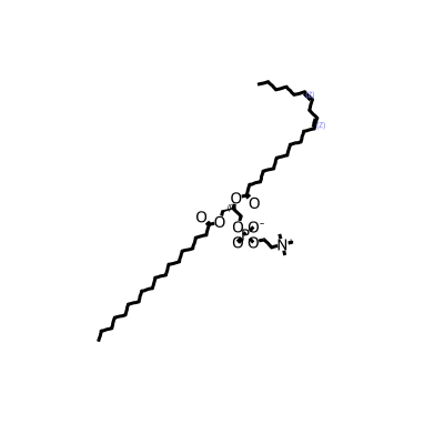 CCCCC/C=C\C/C=C\CCCCCCCCCC(=O)O[C@H](COC(=O)CCCCCCCCCCCCCCCCC)COP(=O)([O-])OCC[N+](C)(C)C